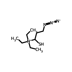 CC[N+](CC)(CC)C(S)CCN=[N+]=[N-]